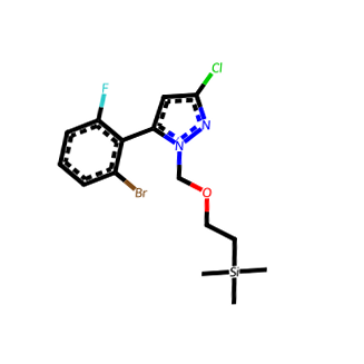 C[Si](C)(C)CCOCn1nc(Cl)cc1-c1c(F)cccc1Br